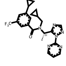 C[C@@H](c1ncnn1-c1ncccn1)N(CC1CC1)C(=O)c1cc(C2CC2)cc(C(F)(F)F)c1